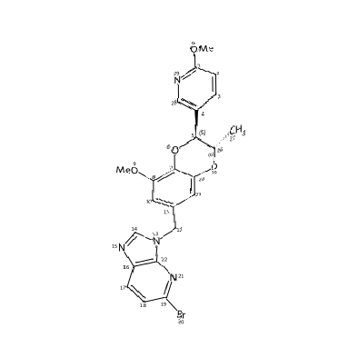 COc1ccc([C@@H]2Oc3c(OC)cc(Cn4cnc5ccc(Br)nc54)cc3O[C@H]2C)cn1